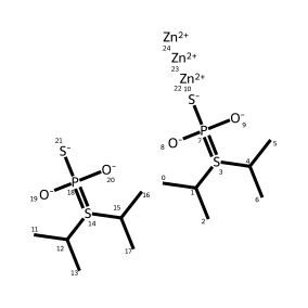 CC(C)S(C(C)C)=P([O-])([O-])[S-].CC(C)S(C(C)C)=P([O-])([O-])[S-].[Zn+2].[Zn+2].[Zn+2]